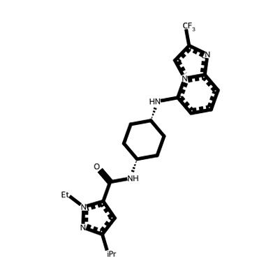 CCn1nc(C(C)C)cc1C(=O)N[C@H]1CC[C@@H](Nc2cccc3nc(C(F)(F)F)cn23)CC1